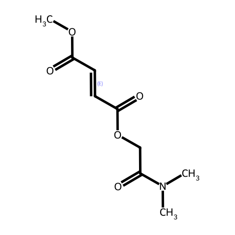 COC(=O)/C=C/C(=O)OCC(=O)N(C)C